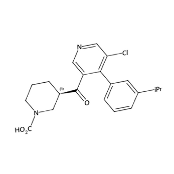 CC(C)c1cccc(-c2c(Cl)cncc2C(=O)[C@@H]2CCCN(C(=O)O)C2)c1